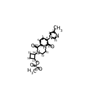 Cc1cn(-c2ccc3n(c2=O)CCN(C2CCC2OS(C)(=O)=O)C3=O)cn1